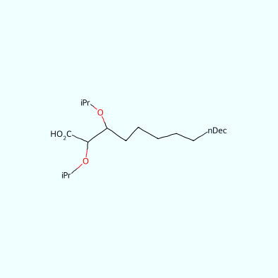 CCCCCCCCCCCCCCCC(OC(C)C)C(OC(C)C)C(=O)O